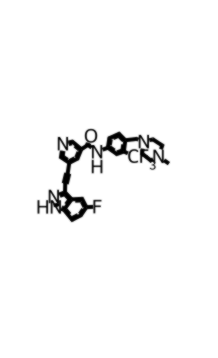 CN1CCN(Cc2ccc(NC(=O)c3cncc(C#Cc4n[nH]c5ccc(F)cc45)c3)cc2C(F)(F)F)CC1